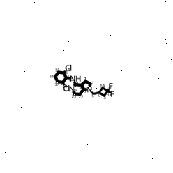 FC1(F)CC(Cn2ccc3c(Nc4c(Cl)cccc4Cl)nccc32)C1